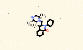 C[C@@H]1CN(Cc2c(C(=O)O)c3ccccc3c(=O)n2-c2ccccc2)[C@@H](C)CN1